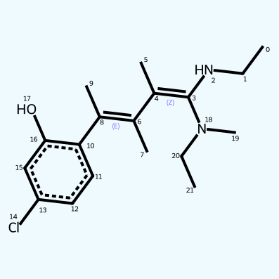 CCN/C(=C(C)/C(C)=C(\C)c1ccc(Cl)cc1O)N(C)CC